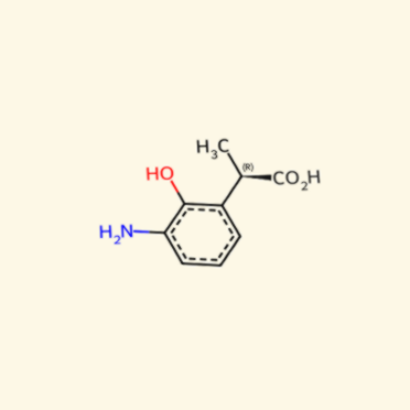 C[C@@H](C(=O)O)c1cccc(N)c1O